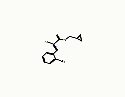 CC(=O)/C(=C\c1ccccc1C(F)(F)F)C(=O)OCC1CC1